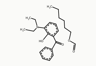 CCCCCCOC=O.CCN(CC)c1cccc(C(=O)c2ccccc2)c1O